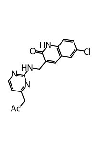 CC(=O)Cc1ccnc(NCc2cc3cc(Cl)ccc3[nH]c2=O)n1